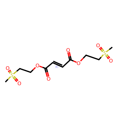 CS(=O)(=O)CCOC(=O)/C=C/C(=O)OCCS(C)(=O)=O